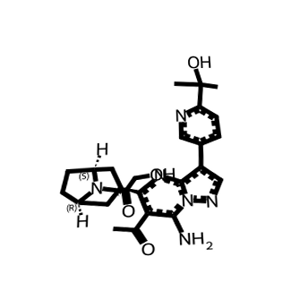 CC(=O)c1c([C@H]2C[C@H]3CC[C@@H](C2)N3C(=O)CO)nc2c(-c3ccc(C(C)(C)O)nc3)cnn2c1N